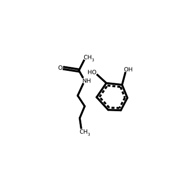 CCCCNC(C)=O.Oc1ccccc1O